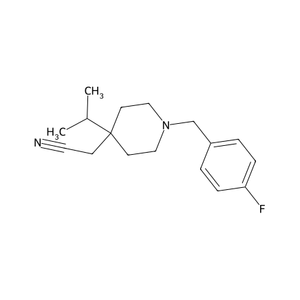 CC(C)C1(CC#N)CCN(Cc2ccc(F)cc2)CC1